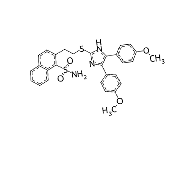 COc1ccc(-c2nc(SCCc3ccc4ccccc4c3S(N)(=O)=O)[nH]c2-c2ccc(OC)cc2)cc1